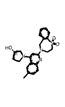 Cc1ccc2nc(N3CCS(=O)(=O)c4ccccc4C3)cc(N3CC[C@@H](O)C3)c2c1